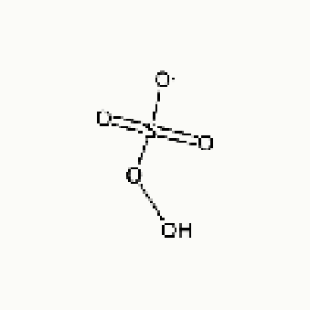 [O]S(=O)(=O)OO